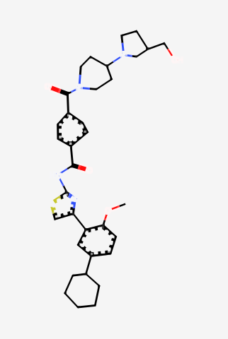 COc1ccc(C2CCCCC2)cc1-c1csc(NC(=O)c2ccc(C(=O)N3CCC(N4CCC(CO)C4)CC3)cc2)n1